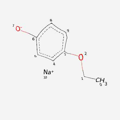 CCOc1ccc([O-])cc1.[Na+]